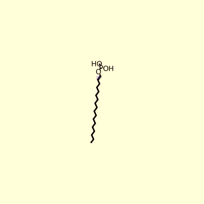 CCCCCCCCCCCCCCCC/C=C/OP(O)O